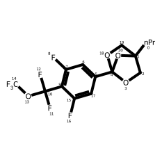 CCCC12COC(c3cc(F)c(C(F)(F)OC(F)(F)F)c(F)c3)(OC1)O2